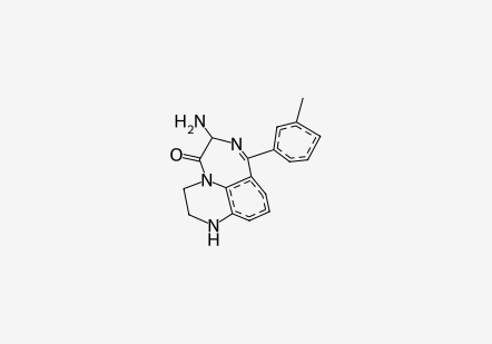 Cc1cccc(C2=NC(N)C(=O)N3CCNc4cccc2c43)c1